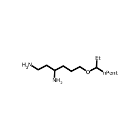 CCCCCC(CC)OCCCC(N)CCN